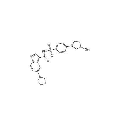 O=C(NS(=O)(=O)c1ccc(N2CCC(O)C2)cc1)c1cnn2ccc(N3CCCC3)cc12